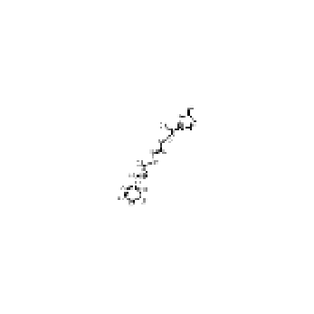 CC(C)CNC(=O)C=CC=CCCOCc1ccccc1